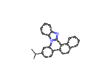 CC(C)c1ccc2c3ccc4ccccc4c3c3nc4ccccc4n3c2c1